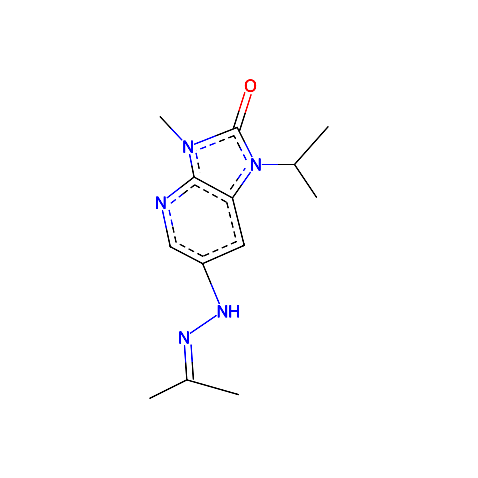 CC(C)=NNc1cnc2c(c1)n(C(C)C)c(=O)n2C